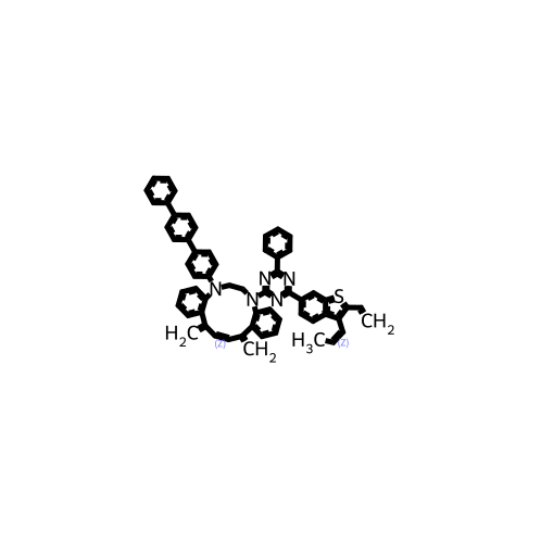 C=Cc1sc2cc(-c3nc(-c4ccccc4)nc(N4CCN(c5ccc(-c6ccc(-c7ccccc7)cc6)cc5)c5ccccc5C(=C)/C=C\C(=C)c5ccccc54)n3)ccc2c1/C=C\C